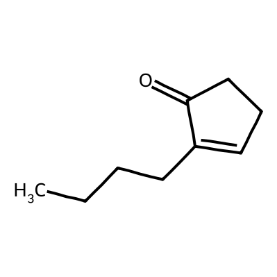 CCCCC1=CCCC1=O